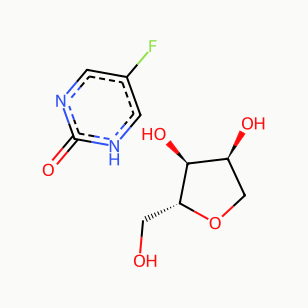 O=c1ncc(F)c[nH]1.OC[C@H]1OC[C@H](O)[C@@H]1O